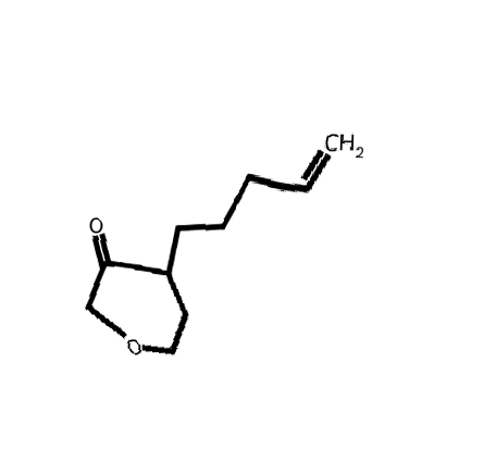 C=CCCCC1CCOCC1=O